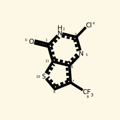 O=c1[nH]c(Cl)nc2c(C(F)(F)F)csc12